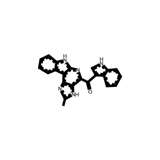 Cc1nc2c([nH]1)c(C(=O)c1c[nH]c3ccccc13)nc1[nH]c3ccccc3c12